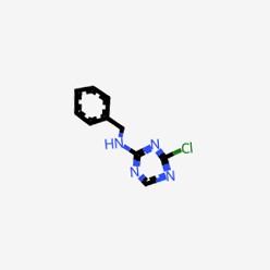 Clc1ncnc(NCc2ccccc2)n1